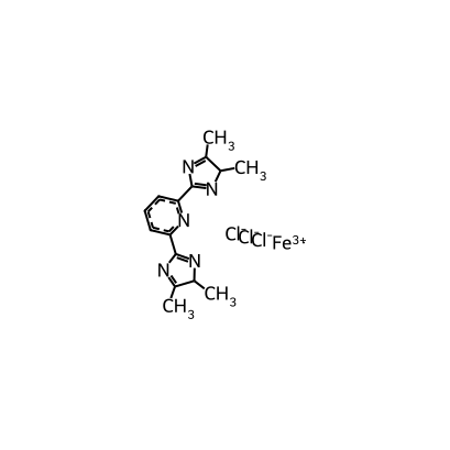 CC1=NC(c2cccc(C3=NC(C)C(C)=N3)n2)=NC1C.[Cl-].[Cl-].[Cl-].[Fe+3]